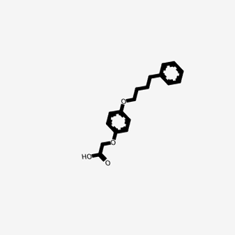 O=C(O)COc1ccc(OCCCCc2ccccc2)cc1